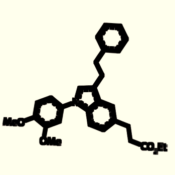 CCOC(=O)CCc1ccc2c(c1)c(CCc1ccccc1)cn2-c1ccc(OC)c(OC)c1